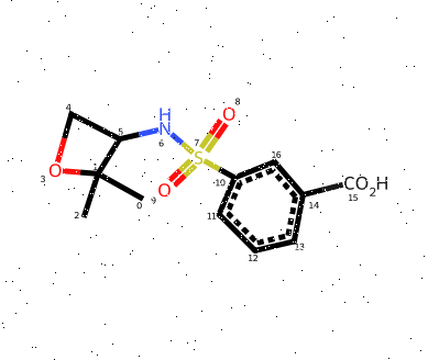 CC1(C)OCC1NS(=O)(=O)c1cccc(C(=O)O)c1